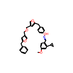 COc1ccc(C=NO)c(C2CC2)c1.c1ccc(Cc2cc(COCc3coc(Cc4ccccc4)c3)co2)cc1